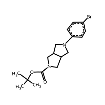 CC(C)(C)OC(=O)N1CC2CN(c3ccc(Br)cc3)CC2C1